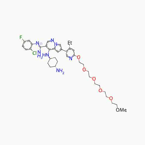 CCc1cc(OCCOCCOCCOCCOCCOC)ncc1-c1cc2c(N[C@H]3CC[C@H](N)CC3)c(/C(N)=N/c3cc(F)ccc3Cl)cnn2c1